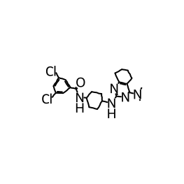 CN(C)c1nc(NC2CCC(NC(=O)c3cc(Cl)cc(Cl)c3)CC2)nc2c1CCCC2